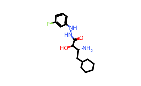 N[C@H](CC1CCCCC1)C(O)C(=O)NNc1cccc(F)c1